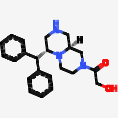 O=C(CO)N1CCN2[C@@H](CNC[C@H]2C(c2ccccc2)c2ccccc2)C1